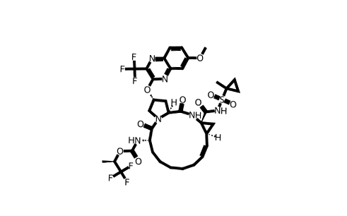 COc1ccc2nc(C(F)(F)F)c(O[C@@H]3C[C@H]4C(=O)N[C@]5(C(=O)NS(=O)(=O)C6(C)CC6)C[C@H]5/C=C\CCCCC[C@H](NC(=O)O[C@H](C)C(F)(F)F)C(=O)N4C3)nc2c1